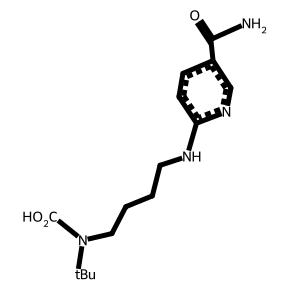 CC(C)(C)N(CCCCNc1ccc(C(N)=O)cn1)C(=O)O